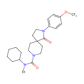 CCN(C(=O)N1CCC2(CC1)CCN(c1ccc(OC(F)(F)F)cc1)C2=O)C1CCCCC1